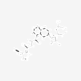 CCC(CC(F)F)[C@@H]1C(C)CN1c1ccc2nccc(C(=O)NCC(=O)N3CSCC3C#N)c2c1